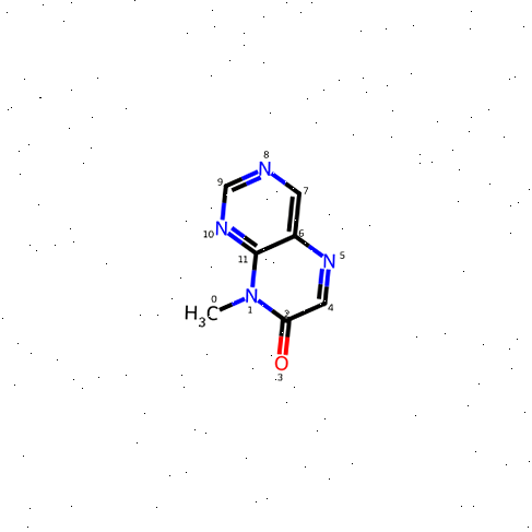 Cn1c(=O)cnc2cncnc21